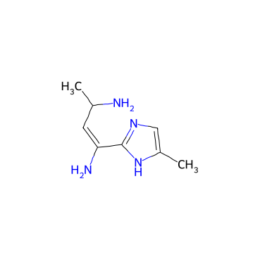 Cc1cnc(/C(N)=C\C(C)N)[nH]1